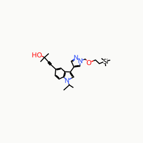 CC(C)n1cc(-c2cnn(COCC[Si](C)(C)C)c2)c2cc(C#CC(C)(C)O)ccc21